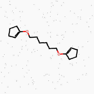 C1=C(OCCCCCCOC2=CCCC2)CCC1